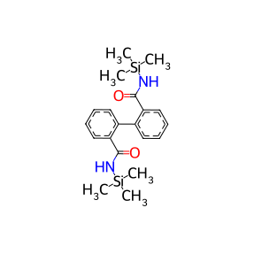 C[Si](C)(C)NC(=O)c1ccccc1-c1ccccc1C(=O)N[Si](C)(C)C